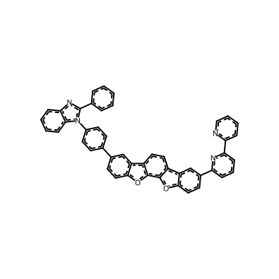 c1ccc(-c2nc3ccccc3n2-c2ccc(-c3ccc4oc5c(ccc6c7cc(-c8cccc(-c9ccccn9)n8)ccc7oc65)c4c3)cc2)cc1